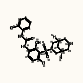 O=C(Nc1cccnc1Cl)Nc1ccc(Cl)c(S(=O)(=O)N2C[C@@H]3CNC[C@H](C3)C2)c1O